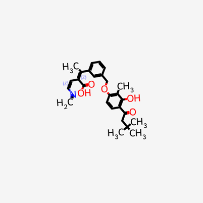 C=N/C=C\C(C(=O)O)=C(/C)c1cccc(COc2ccc(C(=O)CC(C)(C)C)c(O)c2C)c1